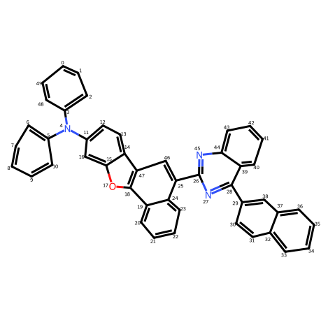 c1ccc(N(c2ccccc2)c2ccc3c(c2)oc2c4ccccc4c(-c4nc(-c5ccc6ccccc6c5)c5ccccc5n4)cc32)cc1